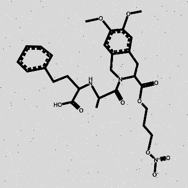 COc1cc2c(cc1OC)CN(C(=O)C(C)NC(CCc1ccccc1)C(=O)O)C(C(=O)OCCCO[N+](=O)[O-])C2